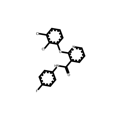 O=C(Nc1ccc(F)cc1)c1cccnc1Oc1cccc(Cl)c1Cl